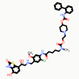 COc1cc(NC(=O)CCCCN(C)C(=O)OCCN2CCC(OC(=O)Nc3ccccc3-c3ccccc3)CC2)c(Cl)cc1CNC[C@H](O)c1ccc(O)c2[nH]c(=O)sc12